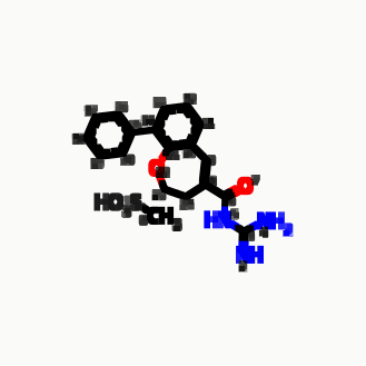 CS(=O)(=O)O.N=C(N)NC(=O)C1=Cc2cccc(-c3ccccc3)c2OCC1